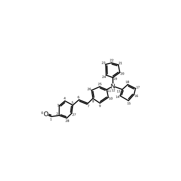 O=Cc1ccc(/C=C/c2ccc(N(c3ccccc3)c3ccccc3)cc2)cc1